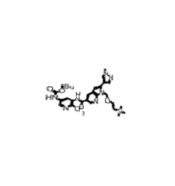 Cn1cc(-c2cc3cc(C(=O)Nc4cc(NC(=O)OC(C)(C)C)cnc4C(F)(F)F)cnc3n2COCC[Si](C)(C)C)cn1